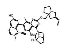 C#Cc1c(F)ccc2cc(O)cc(-c3nc(NC)c4c(N5CC6CCC(CC)(C5)N6)nc(OC[C@@]56CCCN5C/C(=C/F)C6)nc4c3F)c12